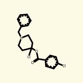 O=C(OC1(Cl)CCN(Cc2ccccc2)CC1)c1ccc(Cl)cc1